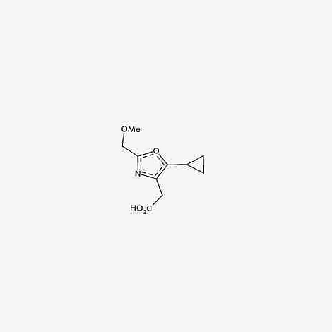 COCc1nc(CC(=O)O)c(C2CC2)o1